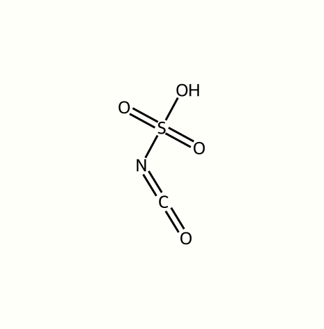 O=C=NS(=O)(=O)O